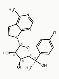 Cc1ncnc2c1ccn2[C@@H]1O[C@H]([C@](C)(O)c2ccc(Cl)cc2)[C@@H](O)[C@H]1O